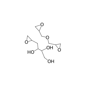 C(OCC1CO1)C1CO1.OCC(O)C(O)CC1CO1